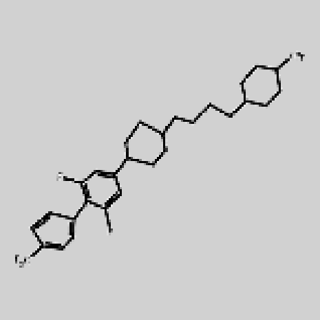 CCCC1CCC(CCCCC2CCC(c3cc(F)c(-c4ccc(C(F)(F)F)cc4)c(F)c3)CC2)CC1